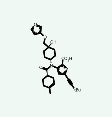 CC1=CC[C@H](C(=O)N(c2cc(C#CC(C)(C)C)sc2C(=O)O)[C@H]2CC[C@@](O)(COc3ccoc3)CC2)CC1